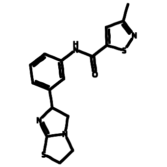 Cc1cc(C(=O)Nc2cccc(C3CN4CCSC4=N3)c2)sn1